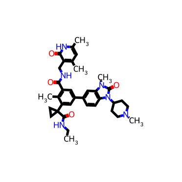 CCNC(=O)C1(c2cc(-c3ccc4c(c3)n(C)c(=O)n4C3CCN(C)CC3)cc(C(=O)NCc3c(C)cc(C)[nH]c3=O)c2C)CC1